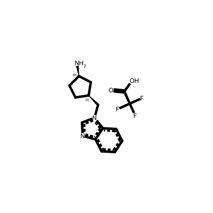 N[C@@H]1CC[C@H](Cn2cnc3ccccc32)C1.O=C(O)C(F)(F)F